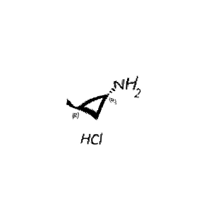 C[C@@H]1C[C@H]1N.Cl